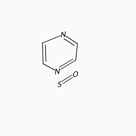 O=S.c1cnccn1